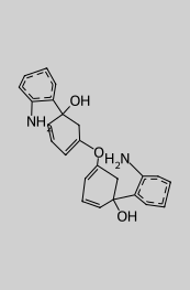 Nc1ccccc1C1(O)C=CC=C(OC2=CC=CC(O)(c3ccccc3N)C2)C1